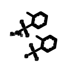 Cc1ccccc1S(=O)(=O)[O-].Cc1ccccc1S(=O)(=O)[O-].[SnH2+2]